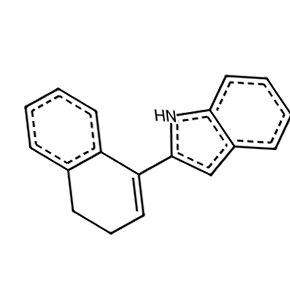 C1=C(c2cc3ccccc3[nH]2)c2ccccc2CC1